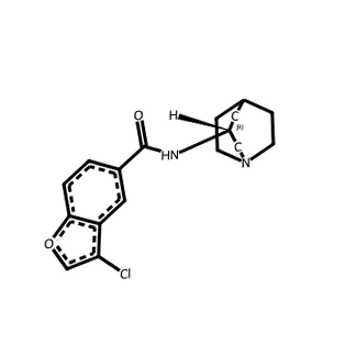 O=C(N[C@@H]1CC2CCN(CC2)C1)c1ccc2occ(Cl)c2c1